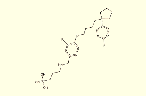 O=P(O)(O)CCCNCc1cc(F)c(SCCCCC2(c3ccc(F)cc3)CCCC2)cn1